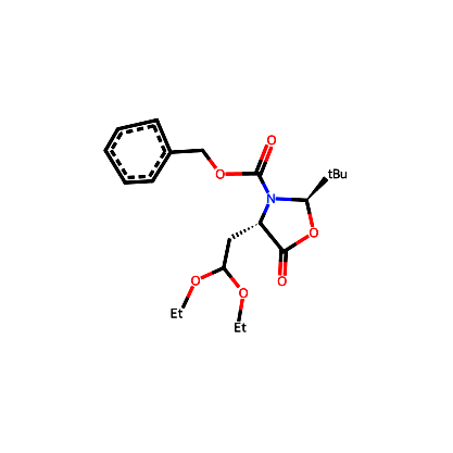 CCOC(C[C@H]1C(=O)O[C@H](C(C)(C)C)N1C(=O)OCc1ccccc1)OCC